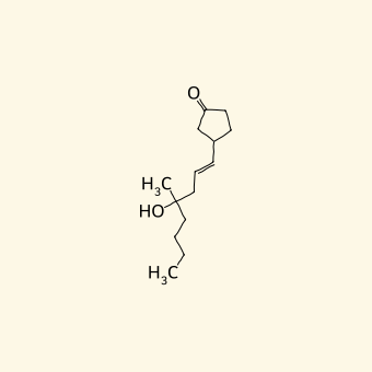 CCCCC(C)(O)C/C=C/C1CCC(=O)C1